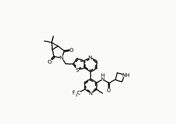 Cc1nc(C(F)(F)F)cc(-c2ccnc3cc(CN4C(=O)C5C(C4=O)C5(C)C)sc23)c1NC(=O)C1CNC1